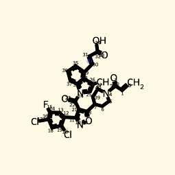 C=CC(=O)N1CCC(c2onc(-c3cc(F)c(Cl)cc3Cl)c2C(=O)n2cc(C)c3c(/C=C/C(=O)O)cccc32)CC1